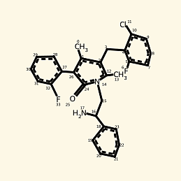 Cc1c(Cc2c(F)cccc2Cl)c(C)n(CC(N)c2ccccc2)c(=O)c1-c1ccccc1F